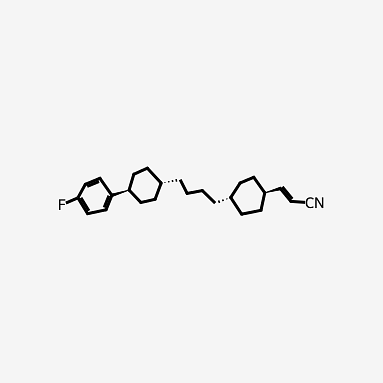 N#C/C=C/[C@H]1CC[C@H](CCCC[C@H]2CC[C@H](c3ccc(F)cc3)CC2)CC1